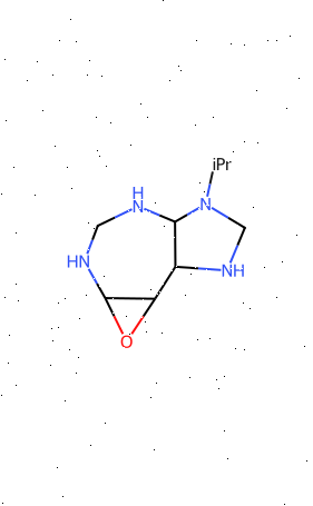 CC(C)N1CNC2C3OC3NCNC21